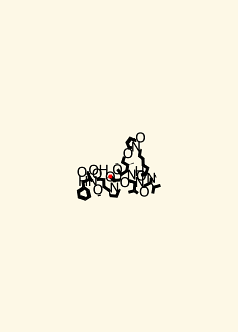 CC[C@H](C)[C@@H]([C@@H](CC(=O)N1CCC[C@H]1[C@H](OC)[C@@H](C)C(=O)NC(Cc1ccccc1)C(=O)O)OC)N(C)C(=O)[C@@H](NC(=O)[C@H](C(C)C)N(C)C(=O)CCCCCN1C(=O)C=CC1=O)C(C)C